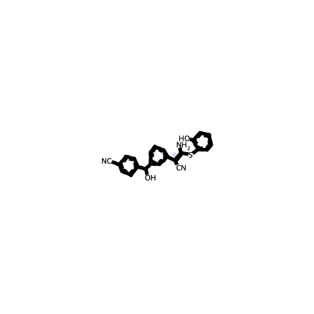 N#C/C(=C(/N)Sc1ccccc1O)c1cccc(C(O)c2ccc(C#N)cc2)c1